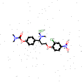 CN(C)C(=O)Oc1ccc(C(CCOc2ccc([N+](=O)[O-])cc2Cl)N(C)C)cc1.Cl